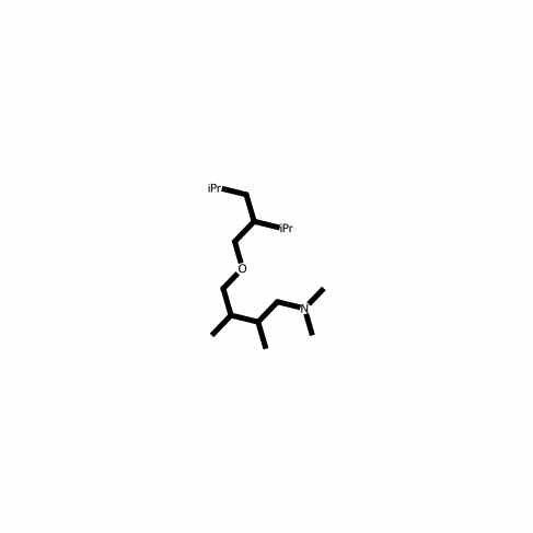 CC(C)CC(COCC(C)C(C)CN(C)C)C(C)C